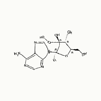 CC[C@@]1(n2cnc3c(N)ncnc32)O[C@H](CO)[C@@H](O)[C@@]1(O)OO